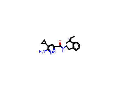 C/C=C(/C)c1ccccc1CCNC(=O)c1cc(C2CC2)c(N)nn1